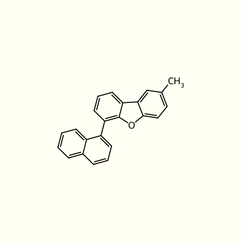 Cc1ccc2oc3c(-c4cccc5ccccc45)cccc3c2c1